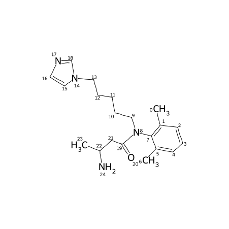 Cc1cccc(C)c1N(CCCCCn1ccnc1)C(=O)CC(C)N